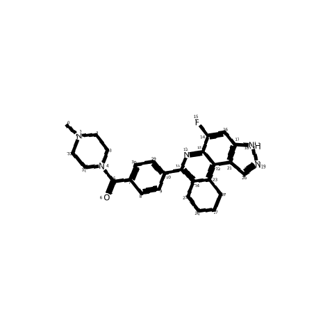 CN1CCN(C(=O)c2ccc(-c3nc4c(F)cc5[nH]ncc5c4c4c3CCCC4)cc2)CC1